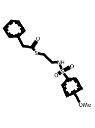 COc1ccc(S(=O)(=O)NCCSC(=O)Cc2ccccc2)cc1